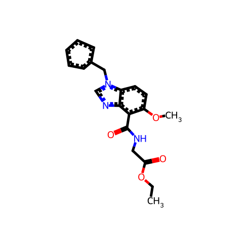 CCOC(=O)CNC(=O)c1c(OC)ccc2c1ncn2Cc1ccccc1